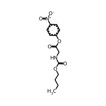 CCCCOC(=O)NCC(=O)Oc1ccc([N+](=O)[O-])cc1